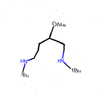 COC(CCNC(C)(C)C)CNC(C)(C)C